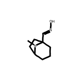 CN1C2C[CH]CC1(C=NO)CC2